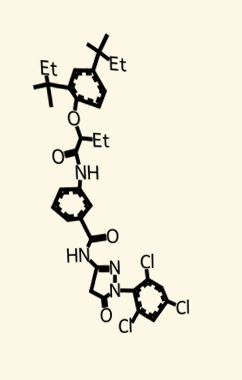 CCC(Oc1ccc(C(C)(C)CC)cc1C(C)(C)CC)C(=O)Nc1cccc(C(=O)NC2=NN(c3c(Cl)cc(Cl)cc3Cl)C(=O)C2)c1